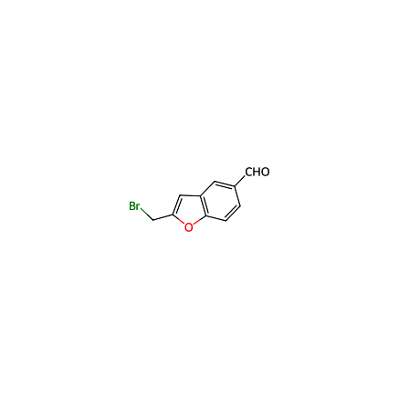 O=Cc1ccc2oc(CBr)cc2c1